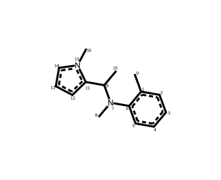 Cc1ccccc1N(C)C(C)c1cccn1C